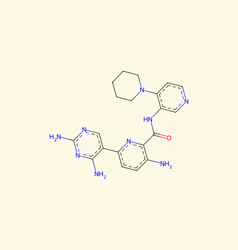 Nc1ncc(-c2ccc(N)c(C(=O)Nc3cnccc3N3CCCCC3)n2)c(N)n1